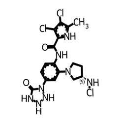 Cc1[nH]c(C(=O)Nc2ccc(N3NNNC3=O)cc2N2CC[C@H](NCl)C2)c(Cl)c1Cl